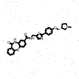 CN1CC[C@@H](COc2ccc(-c3ncc(CNC(=O)c4ccc5c(c4)NC(=O)c4ccccc4S5)s3)cc2)C1